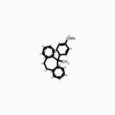 COC1=CCC(C2(C)c3ccccc3CCc3ccccc32)C=C1